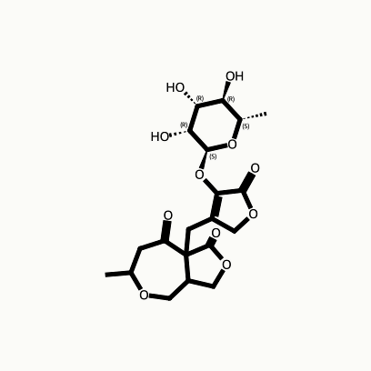 CC1CC(=O)C2(CC3=C(O[C@@H]4O[C@@H](C)[C@H](O)[C@@H](O)[C@H]4O)C(=O)OC3)C(=O)OCC2CO1